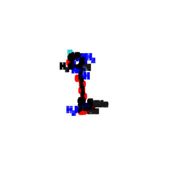 CN[C@@H](C)C(=O)N[C@H](C(=O)N1Cc2cc(OCCOCCOCCC(=O)NCCN/C(C#N)=C3\C(=N)CN(C)C(=O)c4ccc(F)cc4[C@H]4CCCN4c4cc3cnc4N)ccc2C[C@H]1C(N)=O)C(C)(C)C